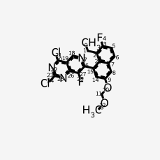 CCc1c(F)ccc2cc(OCOC)cc(-c3ncc4c(Cl)nc(Cl)nc4c3F)c12